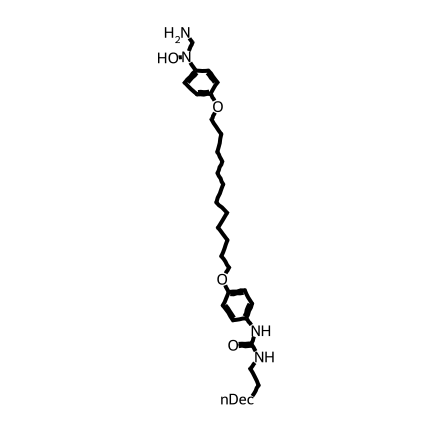 CCCCCCCCCCCCNC(=O)Nc1ccc(OCCCCCCCCCCCCOc2ccc(N(O)CN)cc2)cc1